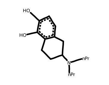 CCCN(CCC)C1CCc2c(ccc(O)c2O)C1